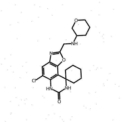 O=C1Nc2c(Cl)cc3nc(CNC4CCCOC4)oc3c2C2(CCCCC2)N1